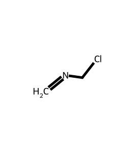 C=NCCl